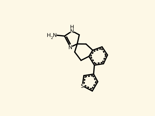 NC1=NC2(CCc3c(cccc3-c3ccsc3)C2)CN1